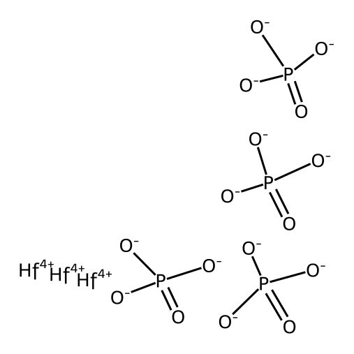 O=P([O-])([O-])[O-].O=P([O-])([O-])[O-].O=P([O-])([O-])[O-].O=P([O-])([O-])[O-].[Hf+4].[Hf+4].[Hf+4]